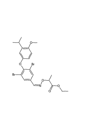 CCOC(=O)C(C)O/N=C\c1cc(Br)c(Oc2ccc(OC)c(C(C)C)c2)c(Br)c1